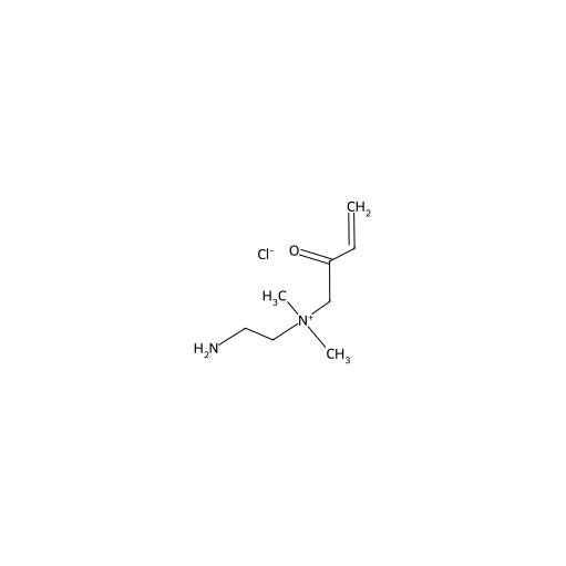 C=CC(=O)C[N+](C)(C)CCN.[Cl-]